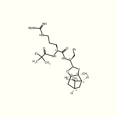 CCC(C)(C)C(=O)N[C@@H](CCCNC(=N)NC)C(=O)N[C@@H](CC(C)C)B1O[C@@H]2C[C@@H]3C[C@@H](C3(C)C)[C@]2(C)O1